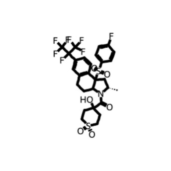 C[C@H]1CC2(S(=O)(=O)c3ccc(F)cc3)c3ccc(C(F)(C(F)(F)F)C(F)(F)F)cc3CCC2N1C(=O)C1(O)CCS(=O)(=O)CC1